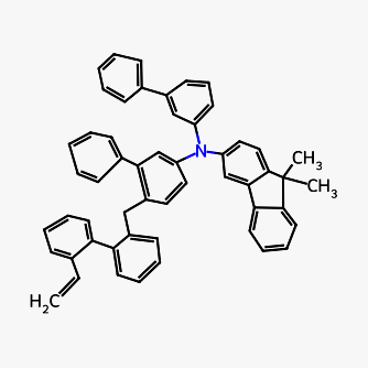 C=Cc1ccccc1-c1ccccc1Cc1ccc(N(c2cccc(-c3ccccc3)c2)c2ccc3c(c2)-c2ccccc2C3(C)C)cc1-c1ccccc1